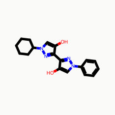 Oc1cn(-c2ccccc2)nc1-c1nn(C2CCCCC2)cc1O